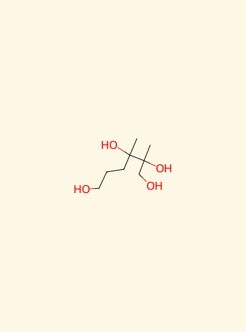 CC(O)(CO)C(C)(O)CCCO